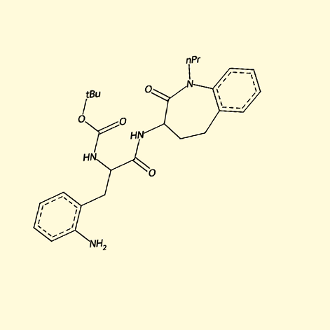 CCCN1C(=O)C(NC(=O)C(Cc2ccccc2N)NC(=O)OC(C)(C)C)CCc2ccccc21